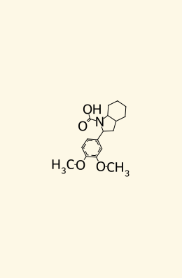 COc1ccc(C2CC3CCCCC3N2C(=O)O)cc1OC